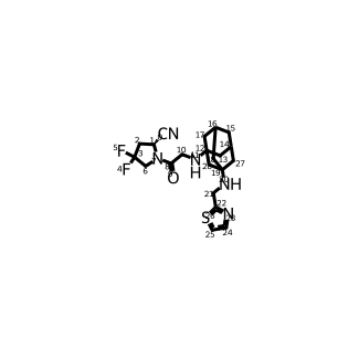 N#C[C@@H]1CC(F)(F)CN1C(=O)CNC12CC3CC(C1)CC(NCc1nccs1)(C3)C2